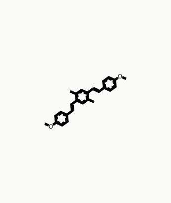 COc1ccc(C=Cc2cc(C)c(C=Cc3ccc(OC)cc3)cc2C)cc1